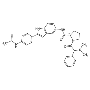 CC(=O)Nc1ccc(-c2cc3cc(NC(=O)[C@@H]4CCCN4C(=O)C(c4ccccc4)N(C)C)ccc3[nH]2)cc1